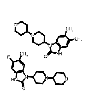 Cc1cc2[nH]c(=O)n(C3CCN(C4CCOCC4)CC3)c2cc1C.Cc1cc2c(cc1F)[nH]c(=O)n2C1CCN(C2CCOCC2)CC1